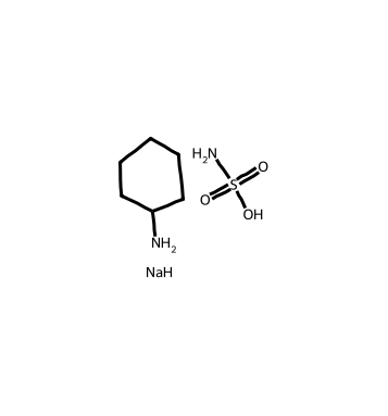 NC1CCCCC1.NS(=O)(=O)O.[NaH]